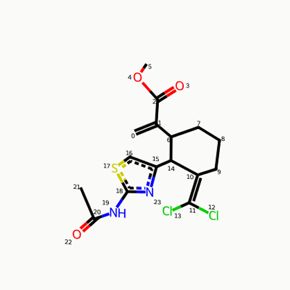 C=C(C(=O)OC)C1CCCC(=C(Cl)Cl)C1c1csc(NC(C)=O)n1